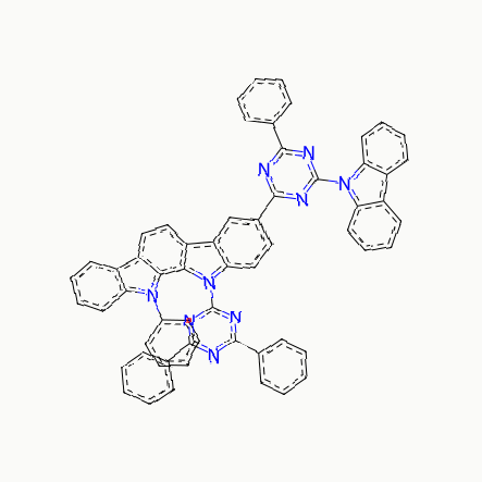 c1ccc(-c2nc(-c3ccc4c(c3)c3ccc5c6ccccc6n(-c6ccccc6)c5c3n4-c3nc(-c4ccccc4)nc(-c4ccccc4)n3)nc(-n3c4ccccc4c4ccccc43)n2)cc1